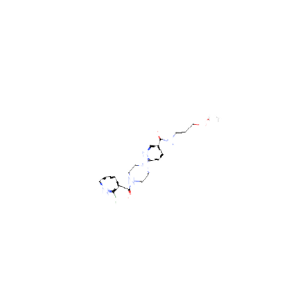 CC(C)OCCCNC(=O)c1ccc(N2CCN(C(=O)c3cccnc3Cl)CC2)nc1